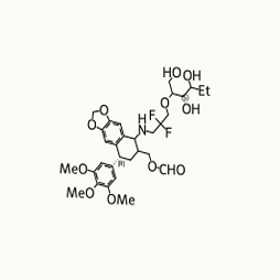 CCC(O)[C@H](O)C(CO)OCC(F)(F)CNC1c2cc3c(cc2[C@@H](c2cc(OC)c(OC)c(OC)c2)CC1COC=O)OCO3